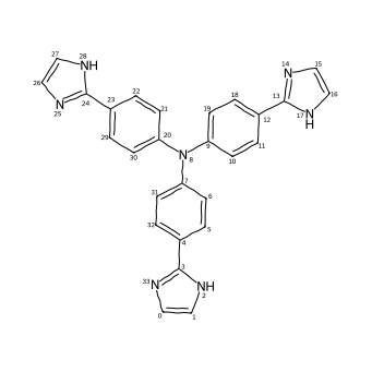 c1c[nH]c(-c2ccc(N(c3ccc(-c4ncc[nH]4)cc3)c3ccc(-c4ncc[nH]4)cc3)cc2)n1